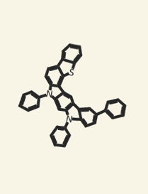 c1ccc(-c2ccc3c(c2)c2cc4c5c6sc7ccccc7c6ccc5n(-c5ccccc5)c4cc2n3-c2ccccc2)cc1